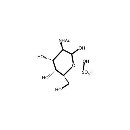 CC(=O)N[C@H]1C(O)O[C@H](CO)[C@H](O)[C@@H]1O.O=S(=O)(O)O